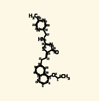 CCOc1ccnc2ccc(C/C=C3\SC(NCc4cnc(C)cn4)=NC3=O)cc12